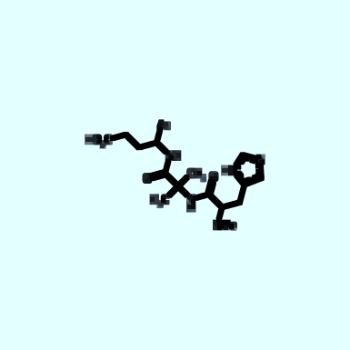 CNC(Cc1cnc[nH]1)C(=O)NC(C)(C)C(=O)NC(CCC(=O)O)C(C)=O